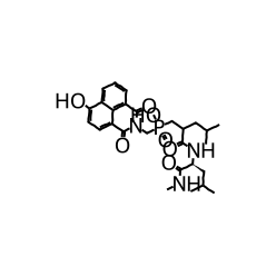 CNC(=O)[C@H](CC(C)C)NC(=O)C(CC(C)C)CP(=O)(O)CN1C(=O)c2cccc3c(O)ccc(c23)C1=O